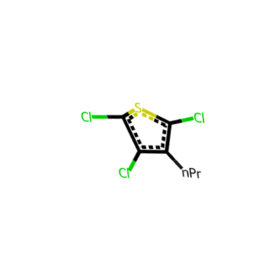 CCCc1c(Cl)sc(Cl)c1Cl